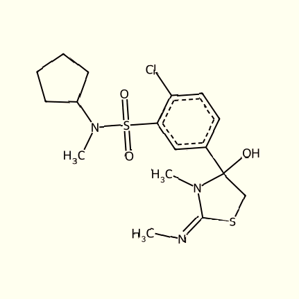 CN=C1SCC(O)(c2ccc(Cl)c(S(=O)(=O)N(C)C3CCCC3)c2)N1C